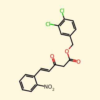 O=C(C=Cc1ccccc1[N+](=O)[O-])CC(=O)OCc1ccc(Cl)c(Cl)c1